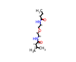 CCCC(=O)NCCOCCNC(=O)CC(C)C